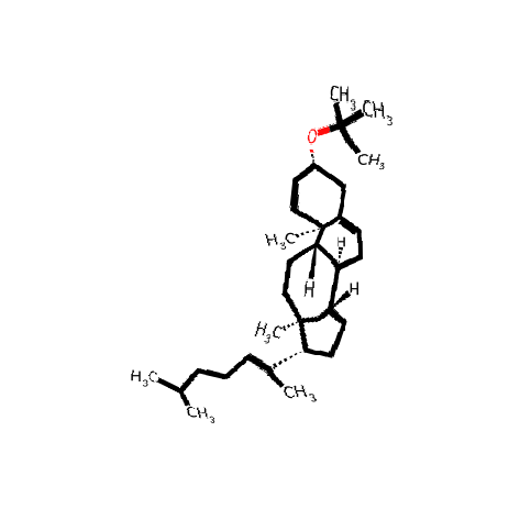 CC(C)CCCC(C)[C@H]1CC[C@H]2[C@@H]3CC=C4C[C@@H](OC(C)(C)C)CC[C@]4(C)[C@H]3CC[C@]12C